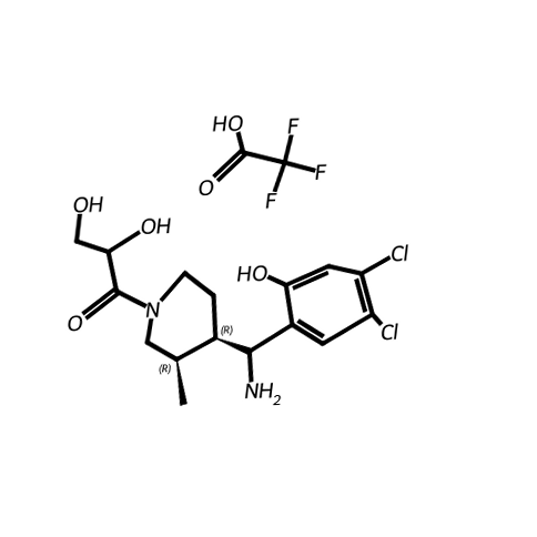 C[C@H]1CN(C(=O)C(O)CO)CC[C@H]1C(N)c1cc(Cl)c(Cl)cc1O.O=C(O)C(F)(F)F